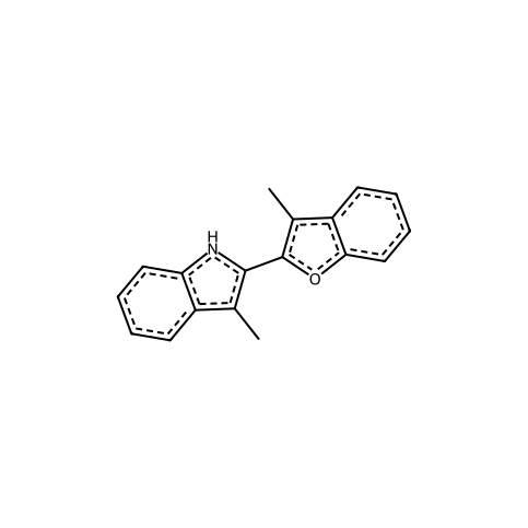 Cc1c(-c2oc3ccccc3c2C)[nH]c2ccccc12